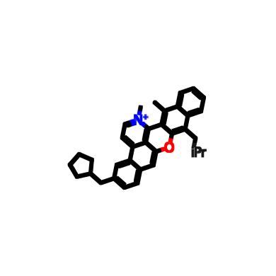 Cc1c2c(c(CC(C)C)c3ccccc13)Oc1cc3ccc(CC4CCCC4)cc3c3cc[n+](C)c-2c13